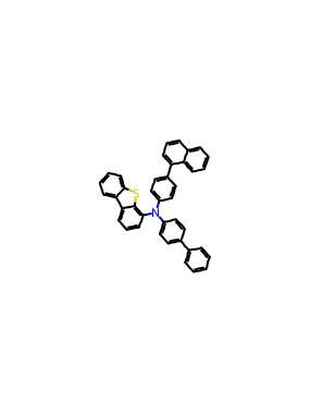 c1ccc(-c2ccc(N(c3ccc(-c4cccc5ccccc45)cc3)c3cccc4c3sc3ccccc34)cc2)cc1